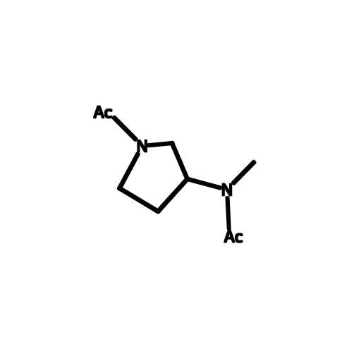 CC(=O)N1CCC(N(C)C(C)=O)C1